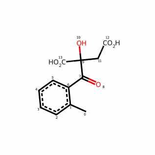 Cc1ccccc1C(=O)C(O)(CC(=O)O)C(=O)O